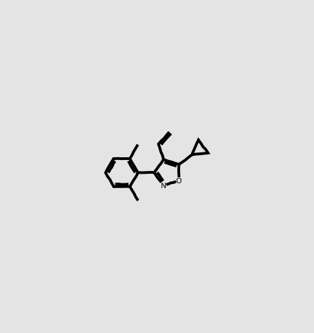 C=Cc1c(-c2c(C)cccc2C)noc1C1CC1